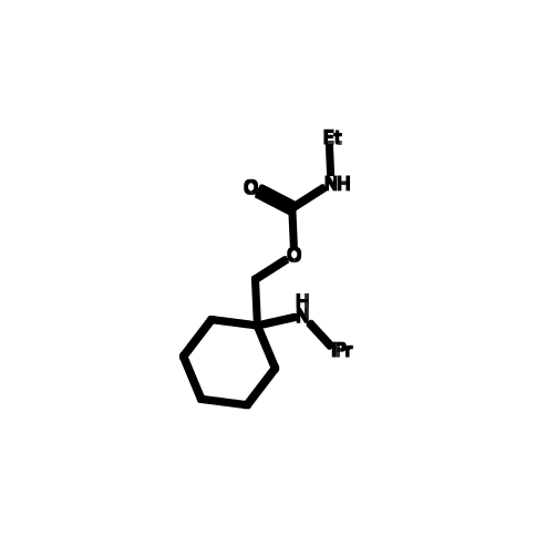 CCNC(=O)OCC1(NC(C)C)CCCCC1